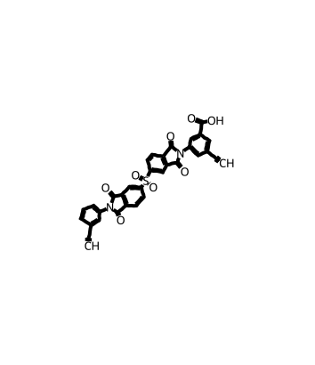 C#Cc1cccc(N2C(=O)c3ccc(S(=O)(=O)c4ccc5c(c4)C(=O)N(c4cc(C#C)cc(C(=O)O)c4)C5=O)cc3C2=O)c1